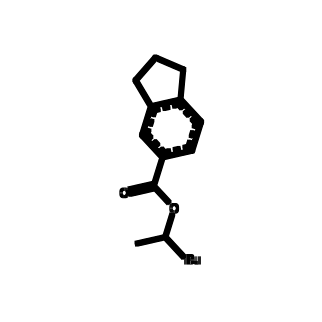 CCC(C)C(C)OC(=O)c1ccc2c(c1)CCC2